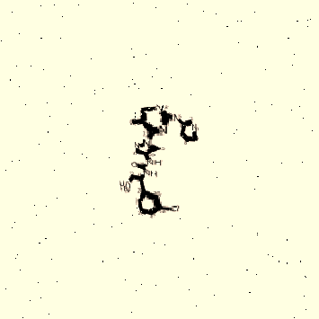 Cc1cnc(Nc2cccnc2)nc1-n1cc(NC(=O)NC(CO)c2cccc(Cl)c2)cn1